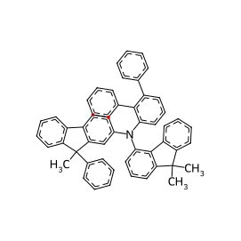 CC1(C)c2ccccc2-c2c(N(c3ccc4c(c3)C(C)(c3ccccc3)c3ccccc3-4)c3cccc(-c4ccccc4)c3-c3ccccc3)cccc21